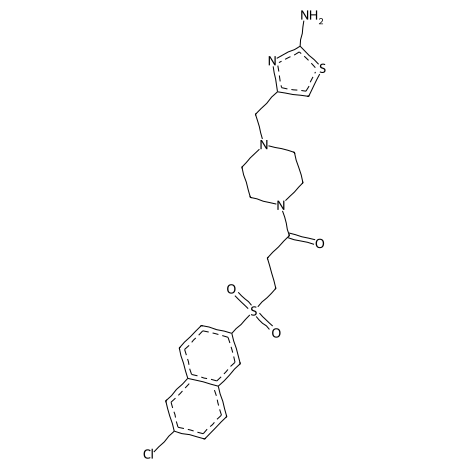 Nc1nc(CN2CCN(C(=O)CCS(=O)(=O)c3ccc4cc(Cl)ccc4c3)CC2)cs1